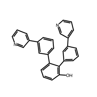 Oc1cccc(-c2cccc(-c3cccnc3)c2)c1-c1cccc(-c2cccnc2)c1